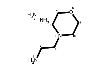 N.N.NCCN1CCOCC1